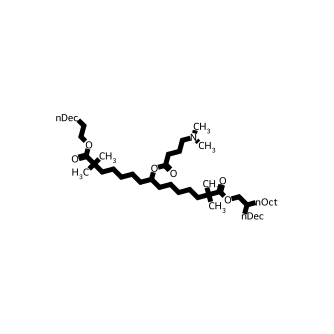 CCCCCCCCCCCCOC(=O)C(C)(C)CCCCCC(CCCCCC(C)(C)C(=O)OCC(CCCCCCCC)CCCCCCCCCC)OC(=O)CCCN(C)C